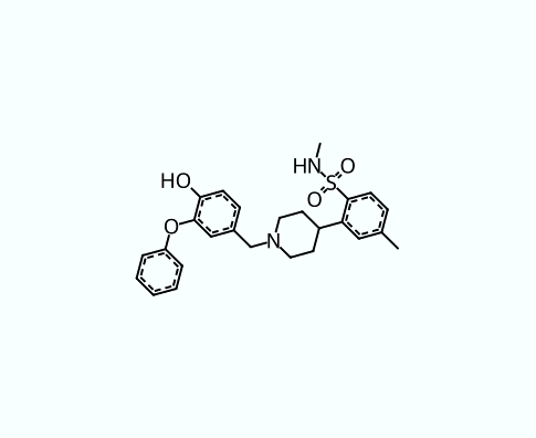 CNS(=O)(=O)c1ccc(C)cc1C1CCN(Cc2ccc(O)c(Oc3ccccc3)c2)CC1